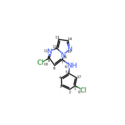 Clc1cccc(Nc2cc(Cl)nc3ccnn23)c1